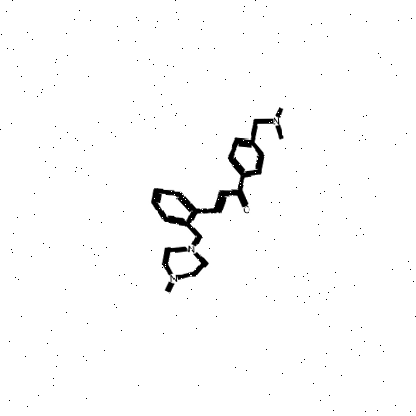 CN(C)Cc1ccc(C(=O)/C=C/c2ccccc2CN2CCN(C)CC2)cc1